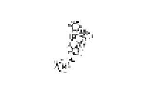 CCC12CC(C)(O)C(O)(c3ccccc3)C[C@H]1CCc1cc(OCCN3CCOCC3)ccc12